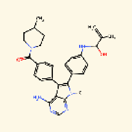 C=C(C)C(O)Nc1ccc(-c2c(-c3ccc(C(=O)N4CCC(C)CC4)cc3)c3c(N)ncnc3n2C)cc1